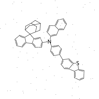 c1ccc2c(c1)-c1ccc(N(c3ccc(-c4ccc5c(c4)sc4ccccc45)cc3)c3ccc4ccccc4c3)cc1C21C2CC3CC(C2)CC1C3